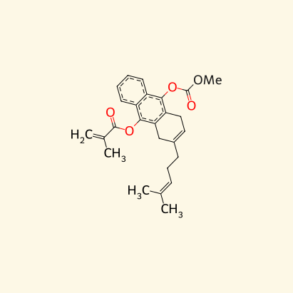 C=C(C)C(=O)Oc1c2c(c(OC(=O)OC)c3ccccc13)CC=C(CCC=C(C)C)C2